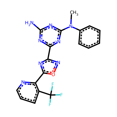 CN(c1ccccc1)c1nc(N)nc(-c2noc(-c3ncccc3C(F)(F)F)n2)n1